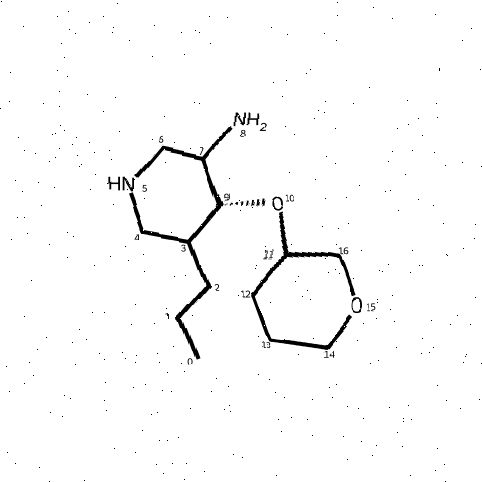 CCCC1CNCC(N)[C@@H]1OC1CCCOC1